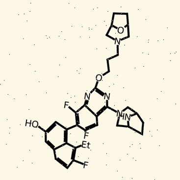 CCc1c(F)ccc2cc(O)cc(-c3c(F)cc4c(N5CC6CCC(C5)N6)nc(OCCCN5CC6CCC(C5)O6)nc4c3F)c12